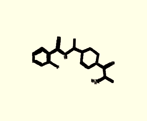 CC(N)C(=O)N1CCC(C(C)NC(=O)c2ccncc2F)CC1